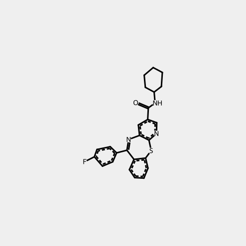 O=C(NC1CCCCC1)c1cnc2c(c1)N=C(c1ccc(F)cc1)c1ccccc1S2